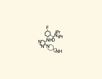 CC(C)N(C(=O)c1cc(F)ccc1Nc1cncnc1N1CCC2(CC1)CNC2)C(C)C